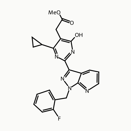 COC(=O)Cc1c(O)nc(-c2nn(Cc3ccccc3F)c3ncccc23)nc1C1CC1